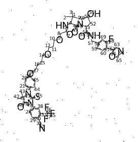 CC(C)(C)[C@H](NC(=O)COCCCOCCCCOc1ccc(N2C(=S)N(c3ccc(C#N)c(C(F)(F)F)c3)C(=O)C2(C)C)cc1)C(=O)N1C[C@H](O)C[C@H]1C(=O)NCc1ccc(-c2cnco2)c(F)c1